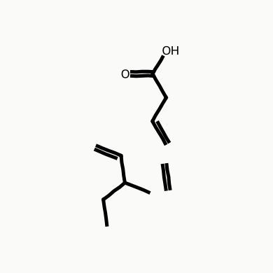 C=C.C=CC(C)CC.C=CCC(=O)O